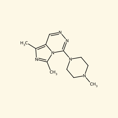 Cc1nc(C)n2c(N3CCN(C)CC3)nncc12